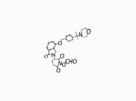 CC(C)(c1ccc(COc2cccc3c2CN([C@H]2CCC(=O)N(OC=O)C2=O)C3=O)cc1)N1CCOCC1